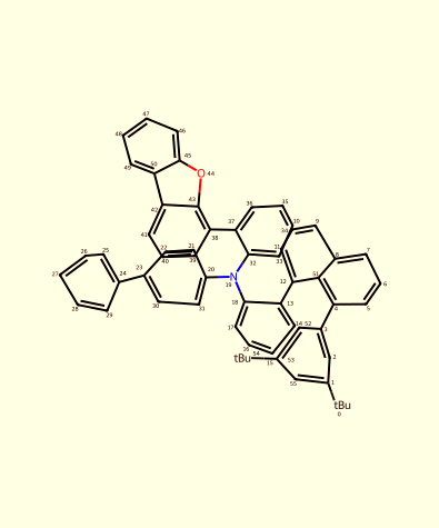 CC(C)(C)c1cc(-c2cccc3cccc(-c4ccccc4N(c4ccc(-c5ccccc5)cc4)c4ccccc4-c4cccc5c4oc4ccccc45)c23)cc(C(C)(C)C)c1